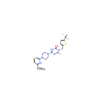 COc1cccc(N2CCN(c3nc(C)n(Cc4ccc(C(C)(F)F)s4)c(=O)n3)CC2)n1